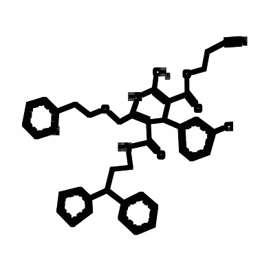 CC1=C(C(=O)OCCC#N)C(c2cccc(Cl)c2)C(C(=O)NCCC(c2ccccc2)c2ccccc2)=C(COCCc2ccccn2)N1